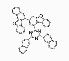 c1ccc2cc(-c3nc(-c4ccc5ccccc5c4)nc(-c4cc(-c5cc6ccccc6c6oc7ccccc7c56)cc5oc6ccccc6c45)n3)ccc2c1